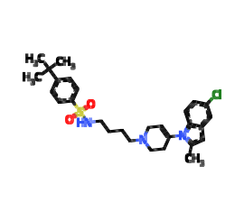 Cc1cc2cc(Cl)ccc2n1C1=CCN(CCCCNS(=O)(=O)c2ccc(C(C)(C)C)cc2)CC1